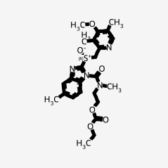 CCOC(=O)OCCN(C)C(=O)n1c([S@@+]([O-])Cc2ncc(C)c(OC)c2C)nc2cc(C)ccc21